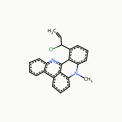 C=CC(Cl)c1cccc2c1-c1nc3ccccc3c3cccc(c13)N2C